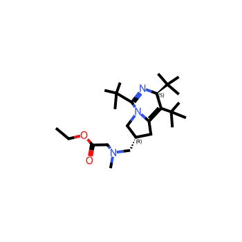 CCOC(=O)CN(C)C[C@H]1CC2=C(C(C)(C)C)[C@H](C(C)(C)C)N=C(C(C)(C)C)N2C1